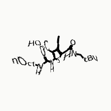 CCCCCCCCNC(=O)Nc1sc(C(=O)NCC(C)(C)C)c(C)c1C(=O)O